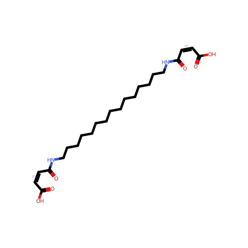 O=C(O)/C=C\C(=O)NCCCCCCCCCCCCCCCNC(=O)/C=C\C(=O)O